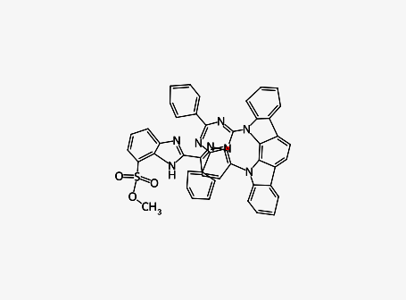 COS(=O)(=O)c1cccc2nc(-c3ccc(-n4c5ccccc5c5ccc6c7ccccc7n(-c7nc(-c8ccccc8)nc(-c8ccccc8)n7)c6c54)cn3)[nH]c12